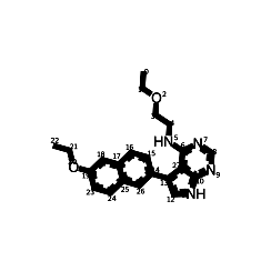 CCOCCNc1ncnc2[nH]cc(-c3ccc4cc(OCC)ccc4c3)c12